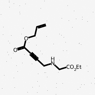 C=CCOC(=O)C#CCNCC(=O)OCC